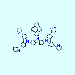 c1ccc(-c2ccc3c(c2)c2cc(-c4ccccn4)ccc2n3-c2ccc3c4ccc(-n5c6ccc(-c7ccccn7)cc6c6cc(-c7ccccn7)ccc65)cc4n(-c4cc5ccc6cccc7ccc(c4)c5c67)c3c2)nc1